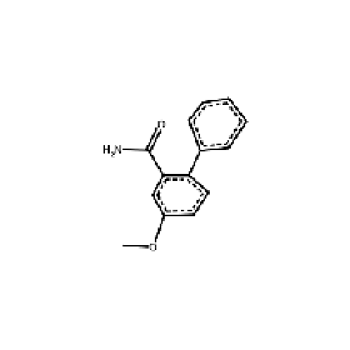 COc1[c]c(C(N)=O)c(-c2ccccc2)cc1